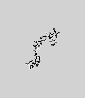 Cc1cc(-c2ncc(N(C)c3cc(C4CCOCC4)c4c(c3)n(C)c(=O)n4C)cn2)cnc1C(=O)NCC#Cc1ccc2occ(C3CCC(=O)NC3=O)c2c1